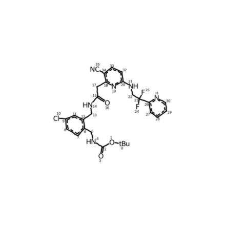 CC(C)(C)OC(=O)NCc1ccc(Cl)cc1CNC(=O)Cc1nc(NCC(F)(F)c2ccccn2)ccc1C#N